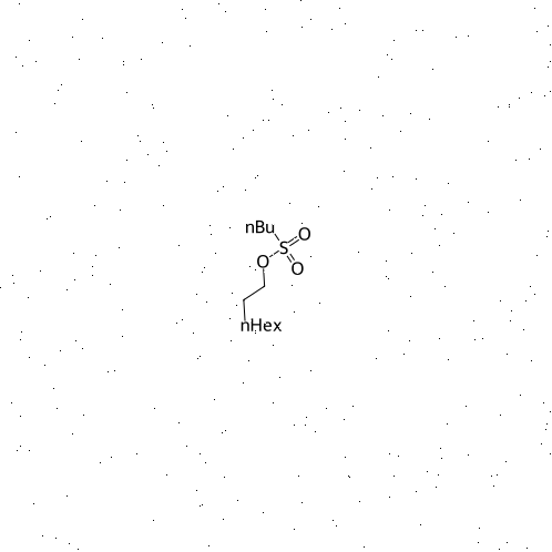 CCCCCCCCOS(=O)(=O)CCCC